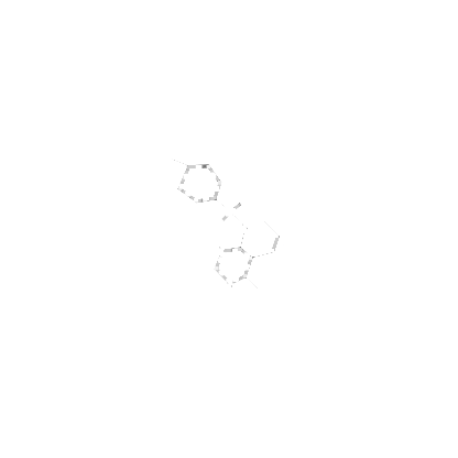 C/C=C\c1c(Cl)ncnc1NS(=O)(=O)c1ccc(C)cc1